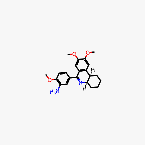 COc1ccc(C2=N[C@@H]3CCCC[C@@H]3c3cc(OC)c(OC)cc32)cc1N